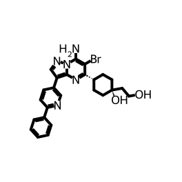 Nc1c(Br)c([C@H]2CC[C@](O)(CCO)CC2)nc2c(-c3ccc(-c4ccccc4)nc3)cnn12